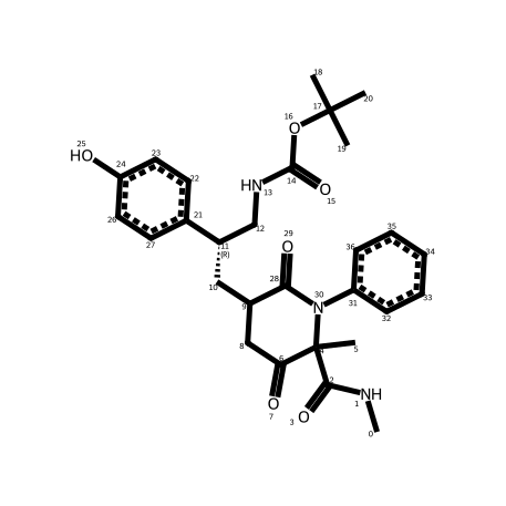 CNC(=O)C1(C)C(=O)CC(C[C@@H](CNC(=O)OC(C)(C)C)c2ccc(O)cc2)C(=O)N1c1ccccc1